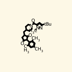 Cc1cc(C)c(C2C(=O)CC(CC3CCN(C(=O)c4cc(C(C)(C)C)nn4C)CC3)C2=O)c(C)c1